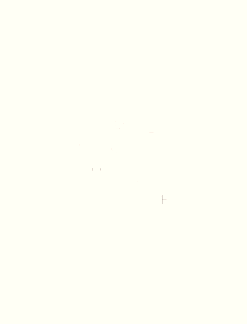 O=S1(=O)OCC(F)C1F